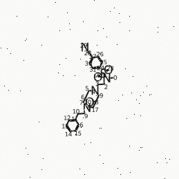 CN(CCN1CC2CN(CCc3ccccc3)CC(C1)O2)S(=O)(=O)c1ccc(C#N)cc1